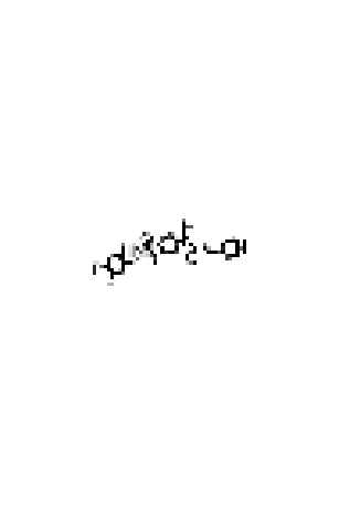 O=C(/C=C/c1ccncc1)Nc1ccc(S(=O)(=O)NCc2ccc(F)c(F)c2)cc1